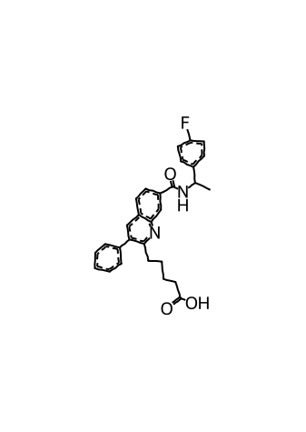 CC(NC(=O)c1ccc2cc(-c3ccccc3)c(CCCCC(=O)O)nc2c1)c1ccc(F)cc1